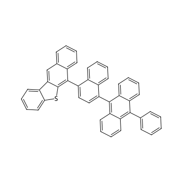 c1ccc(-c2c3ccccc3c(-c3ccc(-c4c5ccccc5cc5c4sc4ccccc45)c4ccccc34)c3ccccc23)cc1